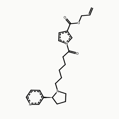 C=CCOC(=O)c1ccn(C(=O)CCCCCN2CCC[C@H]2c2cccnc2)c1